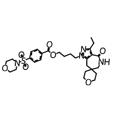 CCc1nn(CCCCOC(=O)c2ccc(S(=O)(=O)N3CCOCC3)cc2)c2c1C(=O)NCC1(CCOCC1)C2